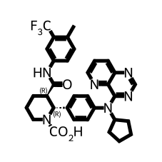 Cc1ccc(NC(=O)[C@@H]2CCCN(C(=O)O)[C@H]2c2ccc(N(c3ncnc4cccnc34)C3CCCC3)cc2)cc1C(F)(F)F